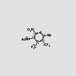 CC(=O)Nc1c([N+](=O)[O-])cc(Br)c(C(F)(F)F)c1C(F)(F)F